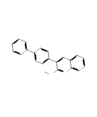 COc1nc2ccccc2cc1-c1ccc(-c2ccccc2)cc1.Cl